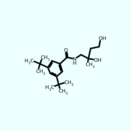 CC(O)(CCO)CNC(=O)c1cc(C(C)(C)C)cc(C(C)(C)C)c1